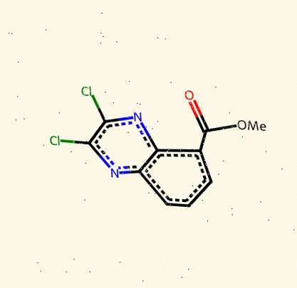 COC(=O)c1cccc2nc(Cl)c(Cl)nc12